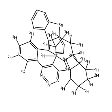 [2H]c1c([2H])c([2H])c(-c2cccc3[se]c4ccccc4c23)c(-c2nnnc(C3([2H])C([2H])C([2H])([2H])C([2H])([2H])C([2H])([2H])C3([2H])[2H])c2C2([2H])C([2H])C([2H])([2H])C([2H])([2H])C([2H])([2H])C2([2H])[2H])c1[2H]